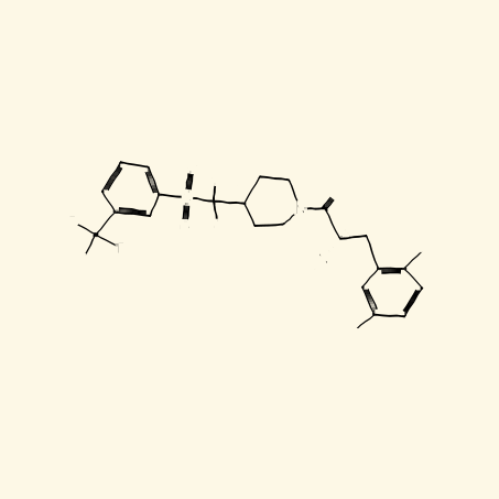 CC(C)(C1CCN(C(=O)[C@@H](N)Cc2cc(F)ccc2F)CC1)S(=O)(=O)c1cccc(C(F)(F)F)c1